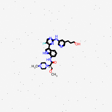 COC[C@H](C(=O)Nc1cccc2c(-c3nc(Nc4cncc(CCCO)c4)ncc3F)c[nH]c12)N1CCN(C)CC1